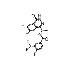 C[C@H](c1n[nH]c(=O)c2cc(F)c(F)cc12)N(C)C(=O)c1ccc(F)c(C(F)F)c1